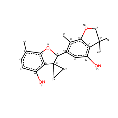 Cc1ccc(O)c2c1OC(c1cc(O)c3c(c1C)OCC3(C)C)C21CC1